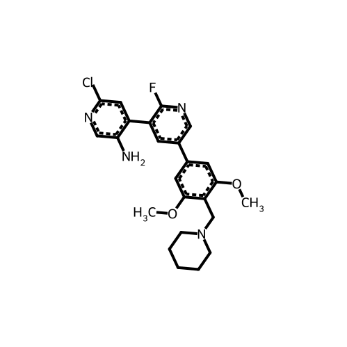 COc1cc(-c2cnc(F)c(-c3cc(Cl)ncc3N)c2)cc(OC)c1CN1CCCCC1